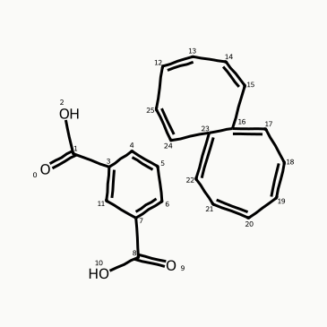 O=C(O)c1cccc(C(=O)O)c1.c1cccc2ccccccc-2cc1